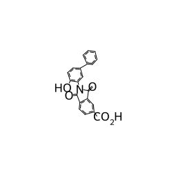 O=C(O)c1ccc2c(c1)C(=O)N(c1cc(-c3ccccc3)ccc1O)C2=O